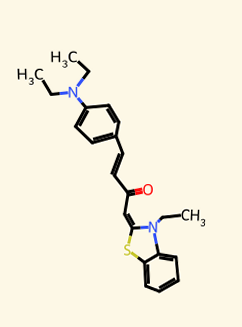 CCN(CC)c1ccc(C=CC(=O)C=C2Sc3ccccc3N2CC)cc1